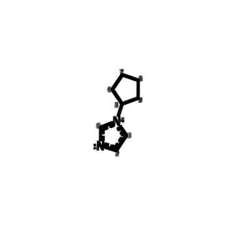 [c]1nccn1C1CCCC1